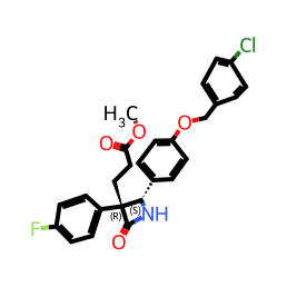 COC(=O)CC[C@]1(c2ccc(F)cc2)C(=O)N[C@H]1c1ccc(OCc2ccc(Cl)cc2)cc1